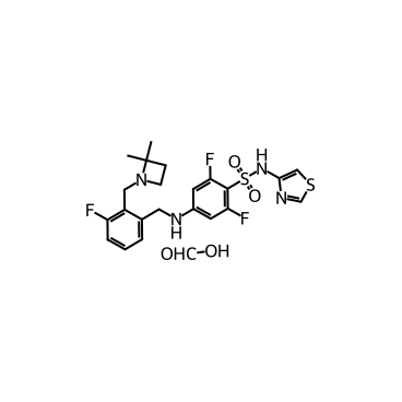 CC1(C)CCN1Cc1c(F)cccc1CNc1cc(F)c(S(=O)(=O)Nc2cscn2)c(F)c1.O=CO